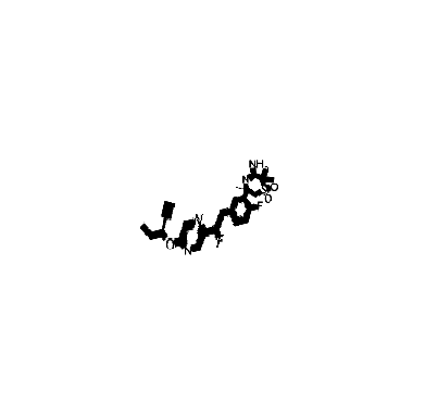 C#C[C@H](CC)Oc1cnc(/C(F)=C/c2ccc(F)c([C@]3(C)CS(=O)(=O)C(C)(C)C(N)=N3)c2)cn1